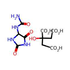 NC(=O)NC1NC(=O)NC1=O.O=C(O)CC(O)(CC(=O)O)C(=O)O